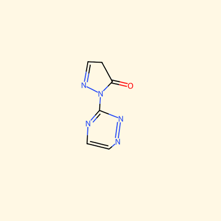 O=C1CC=NN1c1nccnn1